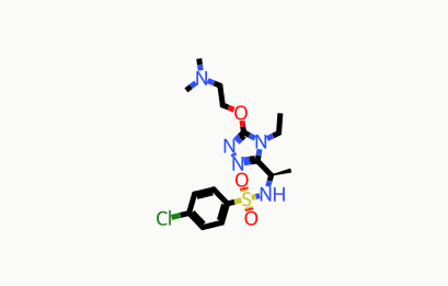 CCn1c(OCCN(C)C)nnc1[C@@H](C)NS(=O)(=O)c1ccc(Cl)cc1